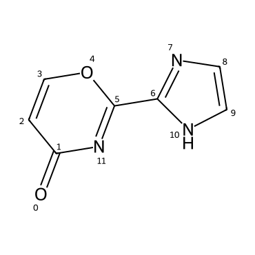 O=c1ccoc(-c2ncc[nH]2)n1